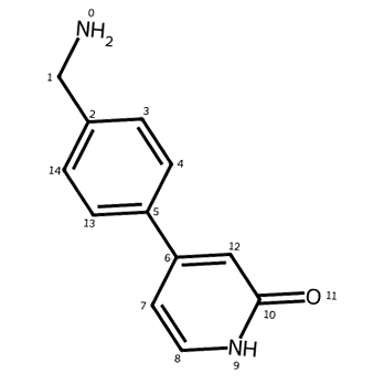 NCc1ccc(-c2cc[nH]c(=O)c2)cc1